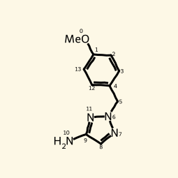 COc1ccc(Cn2ncc(N)n2)cc1